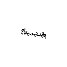 O=C(CCCC(=O)ON1C(=O)CCC1=O)OCCOCCOC(=O)CC(=O)ON1C(=O)CCC1=O